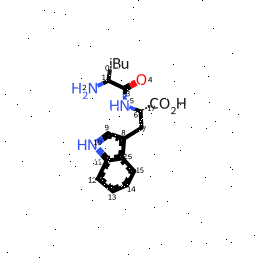 CCC(C)C(N)C(=O)N[C@@H](Cc1c[nH]c2ccccc12)C(=O)O